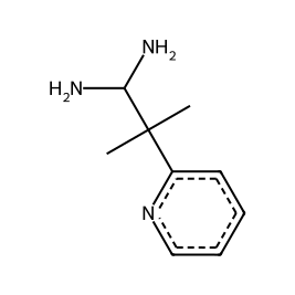 CC(C)(c1ccccn1)C(N)N